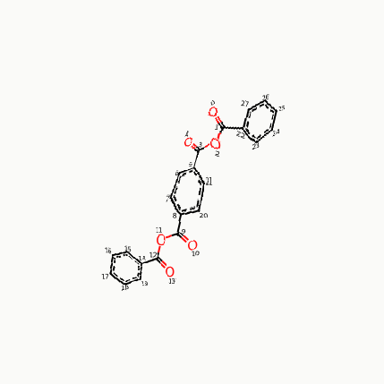 O=C(OC(=O)c1ccc(C(=O)OC(=O)c2ccccc2)cc1)c1ccccc1